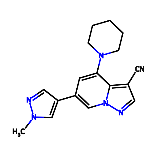 Cn1cc(-c2cc(N3CCCCC3)c3c(C#N)cnn3c2)cn1